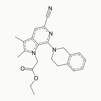 CCOC(=O)Cn1c(C)c(C)c2cc(C#N)nc(N3CCc4ccccc4C3)c21